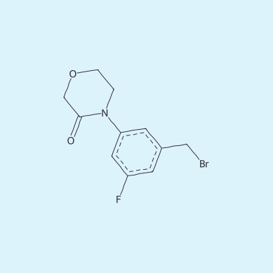 O=C1COCCN1c1cc(F)cc(CBr)c1